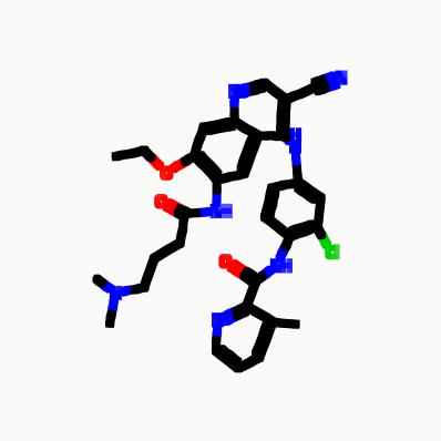 CCOc1cc2ncc(C#N)c(Nc3ccc(NC(=O)c4ncccc4C)c(Cl)c3)c2cc1NC(=O)CCCN(C)C